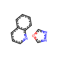 c1ccc2ncccc2c1.c1nnco1